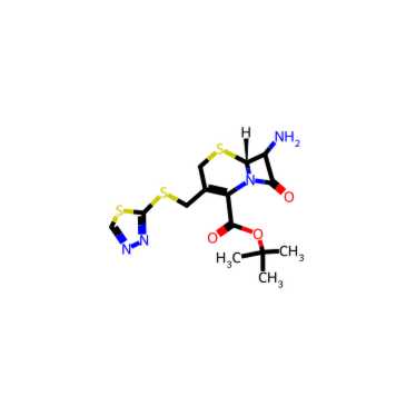 CC(C)(C)OC(=O)C1=C(CSc2nncs2)CS[C@@H]2C(N)C(=O)N12